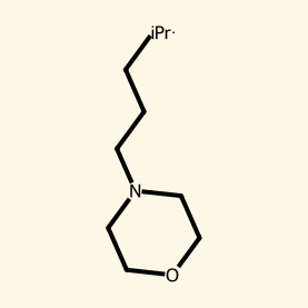 C[C](C)CCCN1CCOCC1